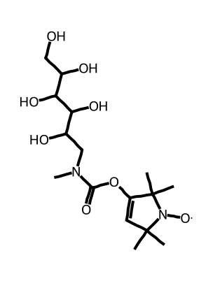 CN(CC(O)C(O)C(O)C(O)CO)C(=O)OC1=CC(C)(C)N([O])C1(C)C